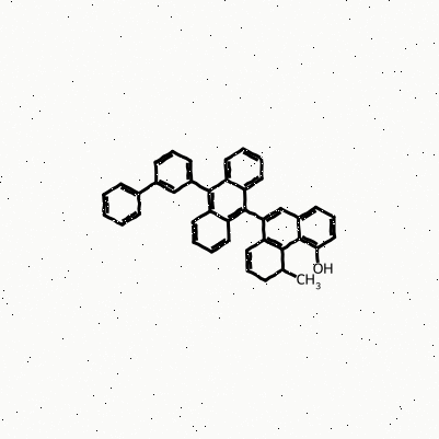 CC1CC=Cc2c(-c3c4ccccc4c(-c4cccc(-c5ccccc5)c4)c4ccccc34)cc3cccc(O)c3c21